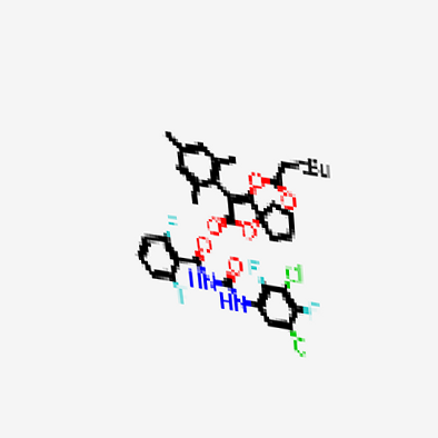 Cc1cc(C)c(C2=C(OC(=O)CC(C)(C)C)C3(CCCC3)OC2=O)c(C)c1.O=C(NC(=O)c1c(F)cccc1F)Nc1cc(Cl)c(F)c(Cl)c1F